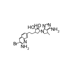 CC1CN(C2CC(CCc3ccc4cc(Br)c(N)nc4c3)C(O)[C@@H]2O)c2ncnc(N)c21